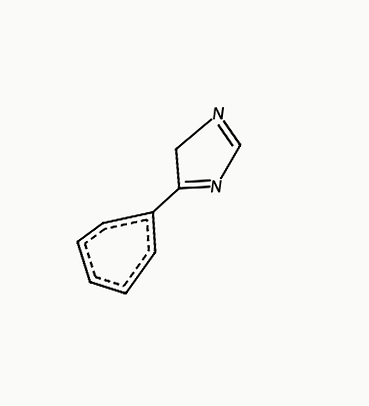 C1=NCC(c2ccccc2)=N1